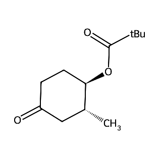 C[C@@H]1CC(=O)CC[C@H]1OC(=O)C(C)(C)C